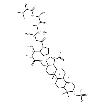 C=C(C)[C@@H]1CC[C@]2(CNC(=O)[C@H](C)[C@@H](OC)C3CCCN3C(=O)C[C@@H](OC)[C@H]([C@@H](C)CC)N(C)C(=O)C(NC(=O)[C@H](C(C)C)N(C)C)C(C)C)CC[C@]3(C)C(CCC4[C@@]5(C)CC[C@H](CP(=O)(O)O)C(C)(C)C5CC[C@]43C)C12